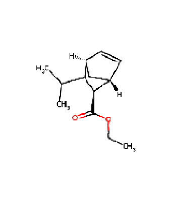 CCOC(=O)[C@H]1C(C(C)C)[C@H]2C=C[C@H]1C2